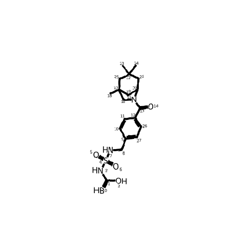 B=C(O)NS(=O)(=O)NCc1ccc(C(=O)N2CC3(C)CC2CC(C)(C)C3)cc1